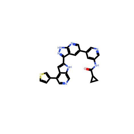 O=C(Nc1cncc(-c2cnc3[nH]nc(-c4cc5c(-c6ccsc6)cncc5[nH]4)c3c2)c1)C1CC1